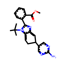 COC(=O)c1ccccc1-c1nc2c(n1C(C)(C)C)=CCC(c1cnc(N)nc1)C=2